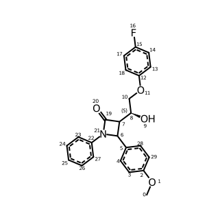 COc1ccc(C2C([C@H](O)COc3ccc(F)cc3)C(=O)N2c2ccccc2)cc1